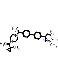 C=C/C(=N\N(C)C)c1ccc(-c2ccc(C(=C)N3CCN(C(=C)C4(C)CC4)CC3)cc2)cc1